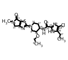 CCO[C@H]1CN(c2nc3c(s2)C(=O)N(C)C3)CC[C@H]1NC(=O)c1nc(Cl)c(CC)[nH]1